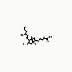 CCCC(O)C=CC1C(O)C[C@@H]2C(=NOCCC(=O)O)C[C@@H]12